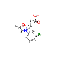 CC1=CN(c2cccc(Br)c2)C(CCC(=O)O)O1